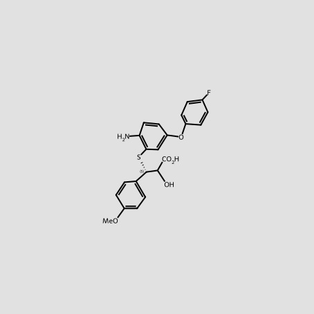 COc1ccc([C@H](Sc2cc(Oc3ccc(F)cc3)ccc2N)C(O)C(=O)O)cc1